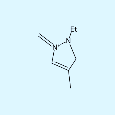 C=[N+]1C=C(C)CN1CC